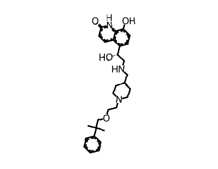 CC(C)(COCCN1CCC(CNC[C@H](O)c2ccc(O)c3[nH]c(=O)ccc23)CC1)c1ccccc1